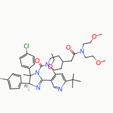 CCOc1cc(C(C)(C)C)ncc1C1=N[C@@](C)(c2ccc(Cl)cc2)C(C)(c2ccc(Cl)cc2)N1C(=O)N1CCC(CC(=O)N(CCOC)CCOC)CC1